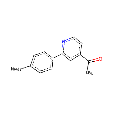 COc1ccc(-c2cc(C(=O)C(C)(C)C)ccn2)cc1